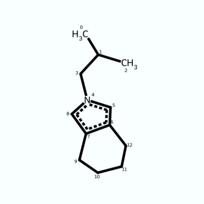 C[C](C)Cn1cc2c(c1)CCCC2